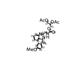 COc1ccc(N(C)c2nc(CNC(=O)OCC(COC(C)=O)OC(C)=O)nc3ccccc23)cc1